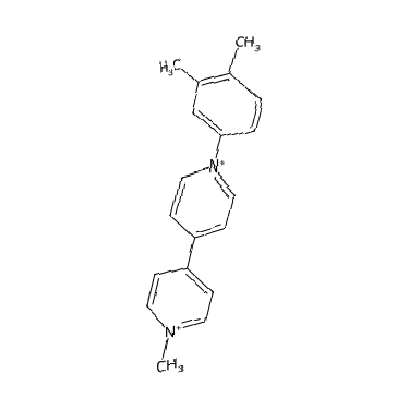 Cc1ccc(-[n+]2ccc(-c3cc[n+](C)cc3)cc2)cc1C